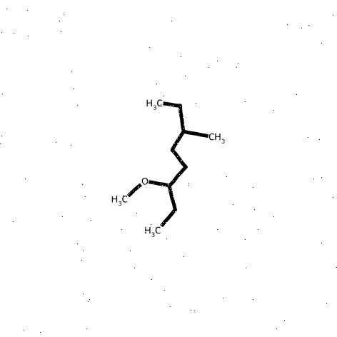 CCC(C)CCC(CC)OC